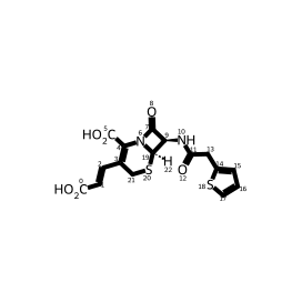 O=C(O)/C=C/C1=C(C(=O)O)N2C(=O)[C@@H](NC(=O)Cc3cccs3)[C@H]2SC1